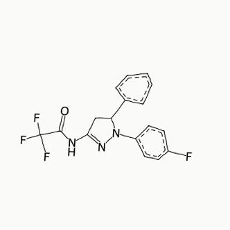 O=C(NC1=NN(c2ccc(F)cc2)C(c2ccccc2)C1)C(F)(F)F